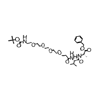 CC(C)[C@H](NC(=O)CCOCCOCCOCCOCCNC(=O)OC(C)(C)C)C(=O)N[C@@H](C)C(=O)OCc1ccccc1